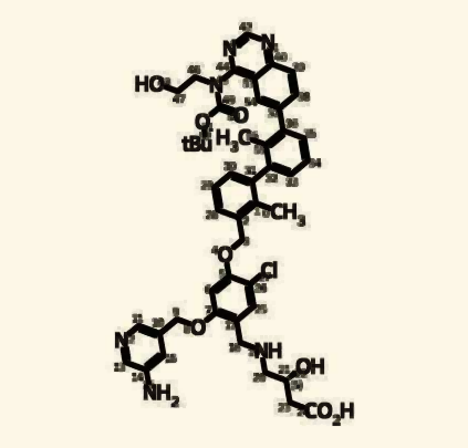 Cc1c(COc2cc(OCc3cncc(N)c3)c(CNC[C@@H](O)CC(=O)O)cc2Cl)cccc1-c1cccc(-c2ccc3ncnc(N(CCO)C(=O)OC(C)(C)C)c3c2)c1C